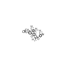 Cc1cc(C)n(-c2nc3c(c(=O)n2-c2ccc(OCC4CCCCN4C)nc2)C[C@@H](C)N(C(=O)c2ccc(Br)c(C)c2)C3)n1